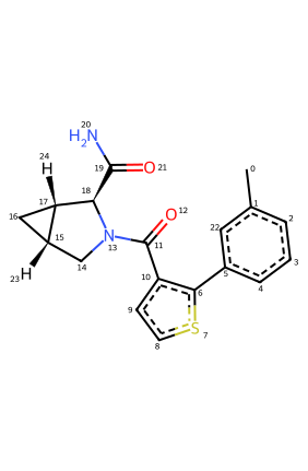 Cc1cccc(-c2sccc2C(=O)N2C[C@@H]3C[C@@H]3[C@H]2C(N)=O)c1